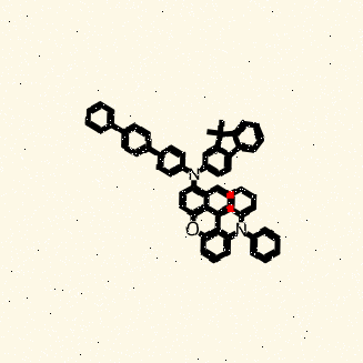 CC1(C)c2ccccc2-c2ccc(N(c3ccc(-c4ccc(-c5ccccc5)cc4)cc3)c3ccc4c5c(cccc35)-c3c(cccc3N(c3ccccc3)c3ccccc3)O4)cc21